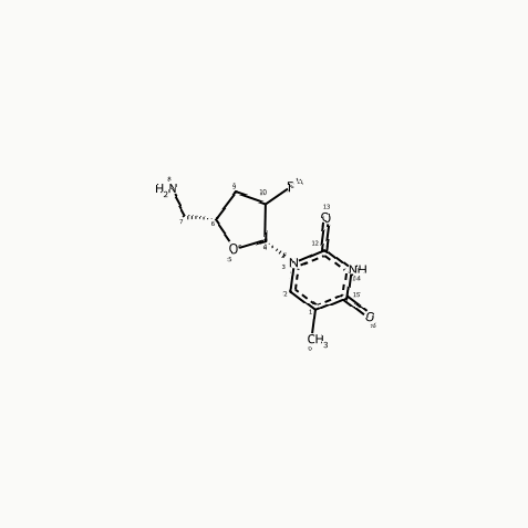 Cc1cn([C@@H]2O[C@H](CN)CC2F)c(=O)[nH]c1=O